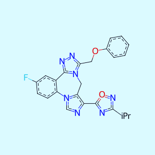 CC(C)c1noc(-c2ncn3c2Cn2c(COc4ccccc4)nnc2-c2cc(F)ccc2-3)n1